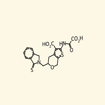 O=C(O)C(=O)Nc1sc2c(c1C(=O)O)CC(CN1Cc3ccccc3C1=S)OC2